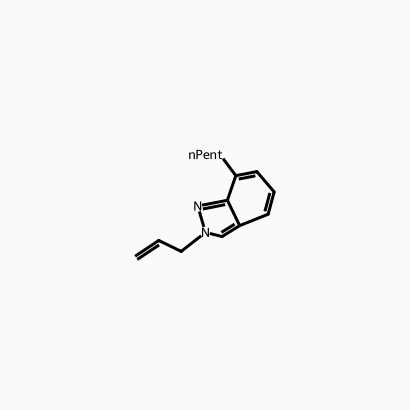 C=CCn1cc2cccc(CCCCC)c2n1